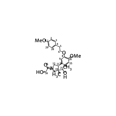 COc1ccc(CCOc2cc([C@@H]3CN(C(=O)CO)C[C@@]3(C)[C@@H](C)O)ccc2OC)cc1